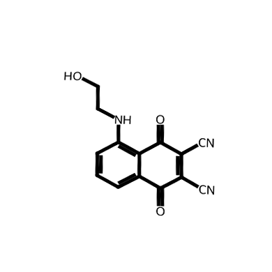 N#CC1=C(C#N)C(=O)c2c(NCCO)cccc2C1=O